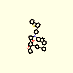 CC1(C)c2ccccc2-c2ccc(N(c3ccc(-c4cccc5c4sc4ccccc45)cc3)c3cccc4c3oc3c(-c5ccc(-c6ccccc6)cc5)c5c(cc34)oc3ccccc35)cc21